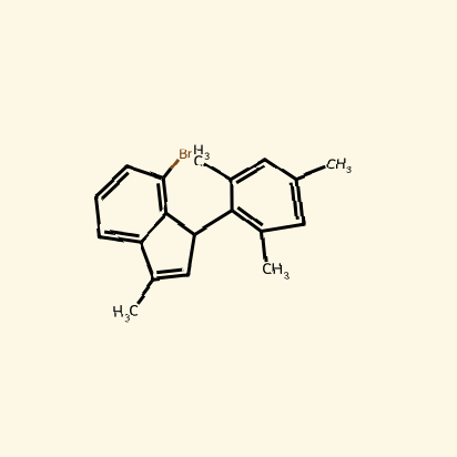 CC1=CC(c2c(C)cc(C)cc2C)c2c(Br)cccc21